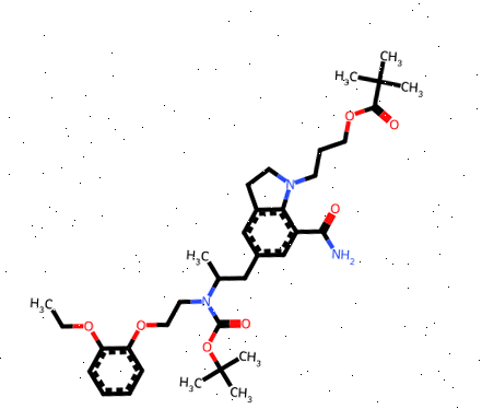 CCOc1ccccc1OCCN(C(=O)OC(C)(C)C)C(C)Cc1cc2c(c(C(N)=O)c1)N(CCCOC(=O)C(C)(C)C)CC2